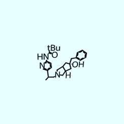 CC(CN1CC2C[C@@](O)(Cc3ccccc3)C[C@@H]2C1)c1ccc(NC(=O)C(C)(C)C)nc1